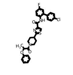 CC(Oc1ccccc1)C(=O)N1CCC(c2nc(C(=O)Nc3ccc(F)cc3-c3ccc(Cl)cc3)cs2)CC1